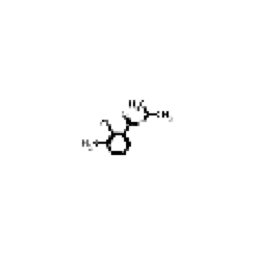 CC(C)OC(=O)c1cccc(N)c1Cl